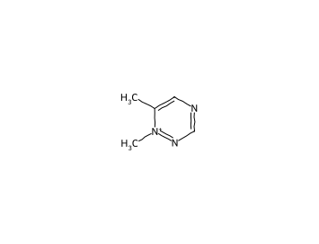 Cc1cncn[n+]1C